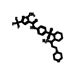 CN(CCN1CCOCC1)C1CCCCN1S(=O)(=O)c1ccc(NC(=O)c2cc(C(F)(F)F)nn2C)cc1